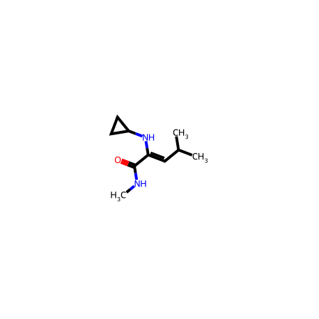 CNC(=O)/C(=C/C(C)C)NC1CC1